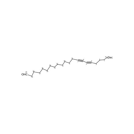 CCCCCCCCCCCCCC#CC#CCCCCCCCCCCCC[C]=O